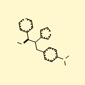 CCN(CC)c1ccc(CC(C(=NO)c2ccncc2)c2ccoc2)cc1